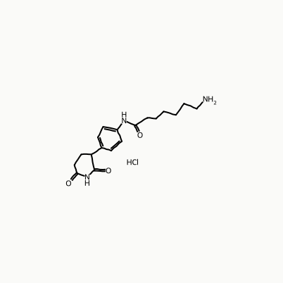 Cl.NCCCCCCC(=O)Nc1ccc(C2CCC(=O)NC2=O)cc1